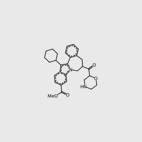 COC(=O)c1ccc2c(C3CCCCC3)c3n(c2c1)CC(C(=O)C1CNCCO1)Cc1ccccc1-3